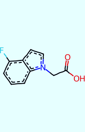 O=C(O)Cn1ccc2c(F)cccc21